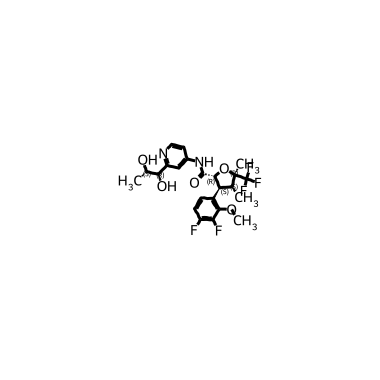 COc1c([C@H]2[C@H](C(=O)Nc3ccnc([C@@H](O)[C@H](C)O)c3)O[C@@](C)(C(F)(F)F)[C@H]2C)ccc(F)c1F